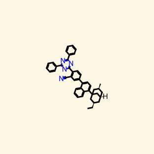 CC[C@@H]1C[C@@H]2C[C@H](C)CC(c3ccc(-c4ccc(-c5nc(-c6ccccc6)nc(-c6ccccc6)n5)c(C#N)c4)c4ccccc34)(C1)C2